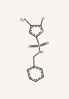 O=[N+]([O-])c1cc(S(=O)(=O)NCc2ccccc2)sc1Cl